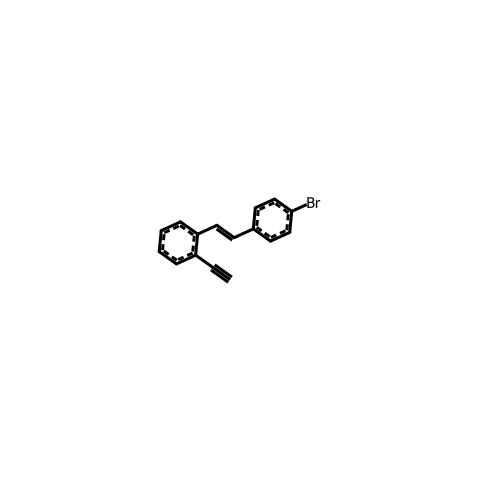 C#Cc1ccccc1C=Cc1ccc(Br)cc1